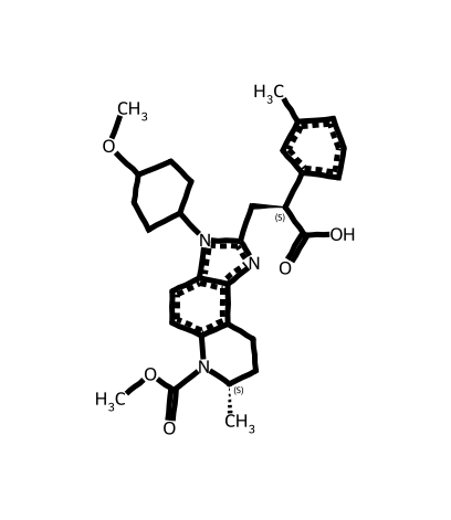 COC(=O)N1c2ccc3c(nc(C[C@H](C(=O)O)c4cccc(C)c4)n3C3CCC(OC)CC3)c2CC[C@@H]1C